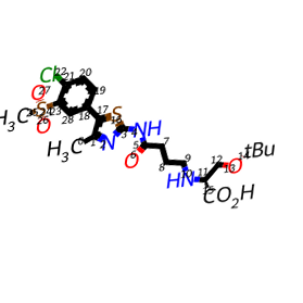 Cc1nc(NC(=O)CCCN[C@@H](COC(C)(C)C)C(=O)O)sc1-c1ccc(Cl)c(S(C)(=O)=O)c1